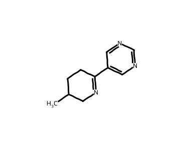 CC1CCC(c2cncnc2)=NC1